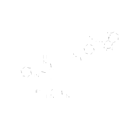 CC(C)C[C@H](NC(=O)C[C@H](O)[C@H](CC(C)C)NC(=O)[C@H](Cc1ccccc1)NC(=O)CCCCNC(=O)c1ccc(On2nnc3cccnc32)c(C#N)c1)C(N)=O